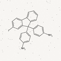 Nc1ccc(C2(c3ccc(N)cc3)c3ccccc3-c3ccc(I)cc32)cc1